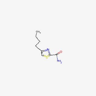 CCCCc1csc(C(N)=O)n1